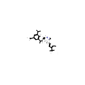 Cc1oc(N/[SH](=O)=N\C(=O)Nc2c(C(C)C)cc(C#N)c(F)c2C(C)C)cc1C(C)(C)O